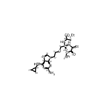 CCCOC(=O)C(CC)NP(=O)(COCCn1cnc2c(NC3CC3)nc(N)nc21)NC(C)C(=O)OCC